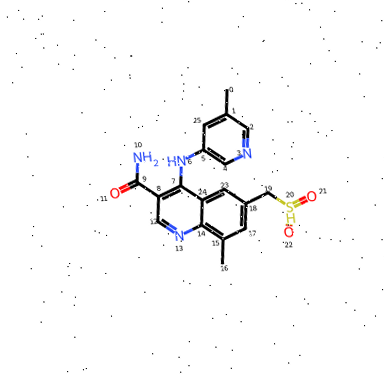 Cc1cncc(Nc2c(C(N)=O)cnc3c(C)cc(C[SH](=O)=O)cc23)c1